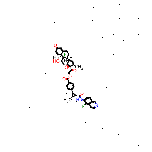 C[C@H]1[C@@H](C(=O)Nc2ccc3cnccc3c2F)[C@@H]1c1ccc(C(=O)OCC(=O)[C@]23O[C@@]24C[C@H](O)[C@@]2(F)[C@@H](CCC5=CC(=O)C=C[C@@]52C)[C@@H]4C[C@H]3C)cc1